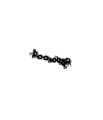 CCc1cc(Nc2ncc(Br)c(Nc3ccccc3C(C)=O)n2)c(OC)cc1N1CCN(C(=O)CN2CCC(c3ccc(NC4CCC(=O)NC4=O)cc3)CC2)CC1